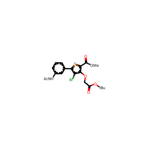 COC(=O)c1sc(-c2cccc(NC(C)=O)c2)c(Br)c1OCC(=O)OC(C)(C)C